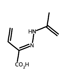 C=C/C(=N\NC(=C)C)C(=O)O